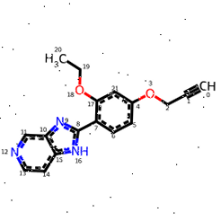 C#CCOc1ccc(-c2nc3cnccc3[nH]2)c(OCC)c1